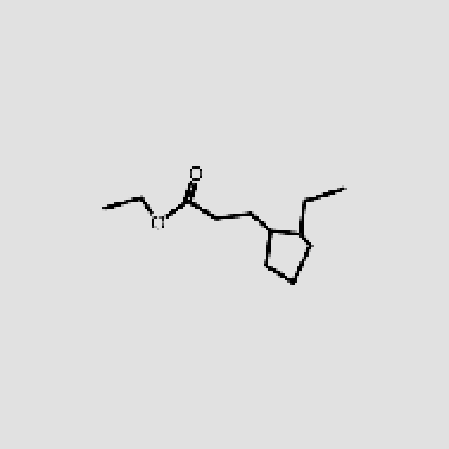 CCOC(=O)CCC1CCCC1CC